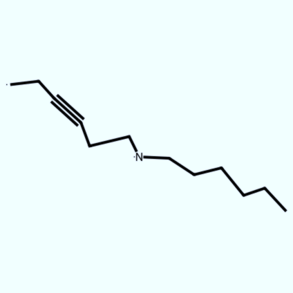 [CH2]CC#CCC[N]CCCCCC